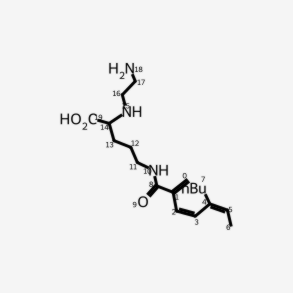 C=C(/C=C\C(=C/C)CCCC)C(=O)NCCCC(NCCN)C(=O)O